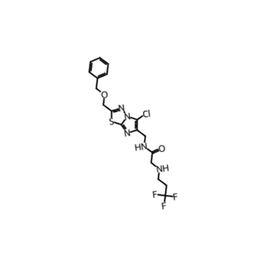 O=C(CNCCC(F)(F)F)NCc1nc2sc(COCc3ccccc3)nn2c1Cl